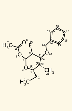 CC[C@H]1OC(OC(C)=O)C(F)[C@@H](OCc2ccccc2)[C@@H]1C